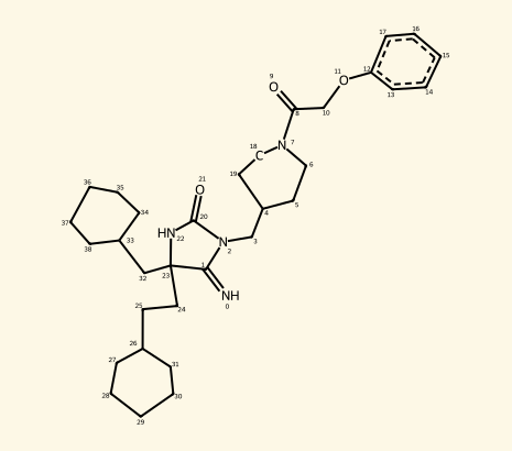 N=C1N(CC2CCN(C(=O)COc3ccccc3)CC2)C(=O)NC1(CCC1CCCCC1)CC1CCCCC1